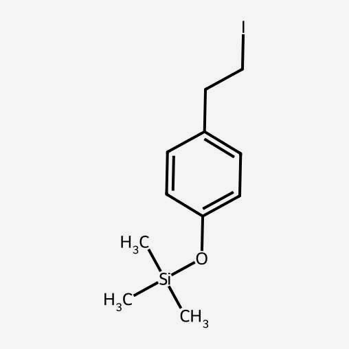 C[Si](C)(C)Oc1ccc(CCI)cc1